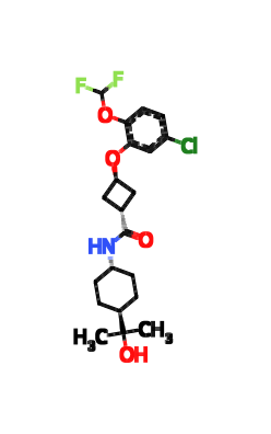 CC(C)(O)[C@H]1CC[C@H](NC(=O)[C@H]2C[C@H](Oc3cc(Cl)ccc3OC(F)F)C2)CC1